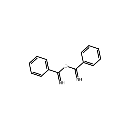 N=C(OC(=N)c1ccccc1)c1ccccc1